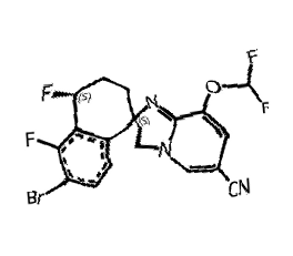 N#CC1=CN2C[C@@]3(CC[C@H](F)c4c3ccc(Br)c4F)N=C2C(OC(F)F)=C1